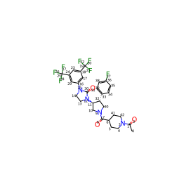 CC(=O)N1CCC(C(=O)N2C[C@@H](N3CCN(c4cc(C(F)(F)F)cc(C(F)(F)F)c4)C3=O)[C@H](c3ccc(F)cc3)C2)CC1